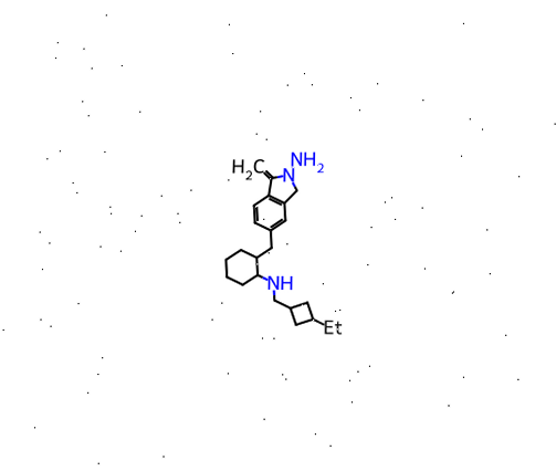 C=C1c2ccc(CC3CCCCC3NCC3CC(CC)C3)cc2CN1N